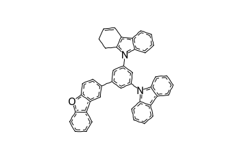 C1=Cc2c(n(-c3cc(-c4ccc5oc6ccccc6c5c4)cc(-n4c5ccccc5c5ccccc54)c3)c3ccccc23)CC1